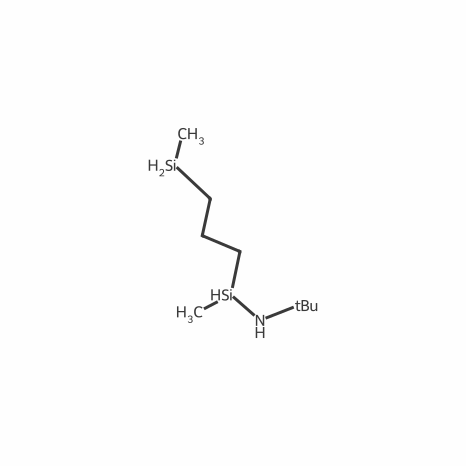 C[SiH2]CCC[SiH](C)NC(C)(C)C